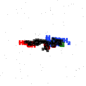 CC(C)(C)OC(=O)N/C(=N\C(=O)c1nc(Cl)c(N)nc1N)NCCCCc1ccc(OCC(O)CO)cc1